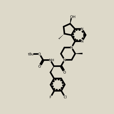 C[C@@H]1C[C@@H](O)c2ncnc(N3CCN(C(=O)[C@@H](Cc4ccc(Cl)c(F)c4)NC(=O)OC(C)(C)C)C[C@@H]3C)c21